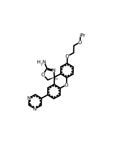 CC(C)OCCOc1ccc2c(c1)[C@]1(COC(N)=N1)c1cc(-c3cncnc3)ccc1O2